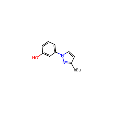 CCCCc1c[c]n(-c2cccc(O)c2)n1